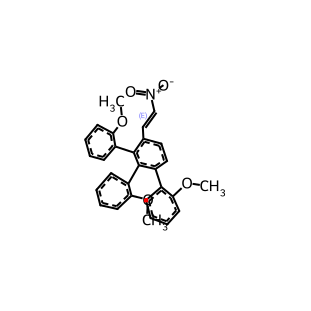 COc1ccccc1-c1ccc(/C=C/[N+](=O)[O-])c(-c2ccccc2OC)c1-c1ccccc1OC